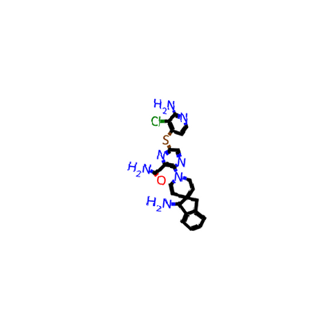 NC(=O)c1nc(Sc2ccnc(N)c2Cl)cnc1N1CCC2(CC1)Cc1ccccc1C2N